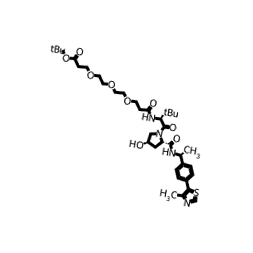 Cc1ncsc1-c1ccc([C@H](C)NC(=O)[C@@H]2C[C@@H](O)CN2C(=O)[C@@H](NC(=O)CCOCCOCCOCCC(=O)OC(C)(C)C)C(C)(C)C)cc1